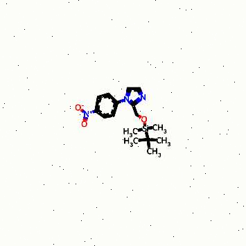 CC(C)(C)[Si](C)(C)OCc1nccn1-c1ccc([N+](=O)[O-])cc1